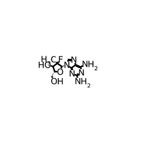 CC1(F)C(O)[C@@H](CO)O[C@H]1n1cnc2c(N)nc(N)nc21